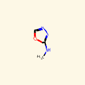 CNc1nn[c]o1